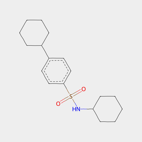 O=S(=O)(NC1CCCCC1)c1ccc(C2CCCCC2)cc1